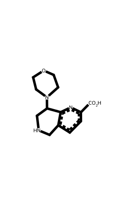 O=C(O)c1ccc2c(n1)C(N1CCOCC1)CNC2